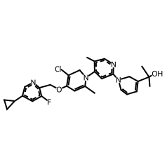 CC1=CC(OCc2ncc(C3CC3)cc2F)=C(Cl)CN1c1cc(N2C=CC=C(C(C)(C)O)C2)ncc1C